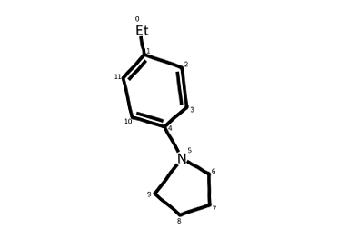 CCc1ccc(N2CCCC2)cc1